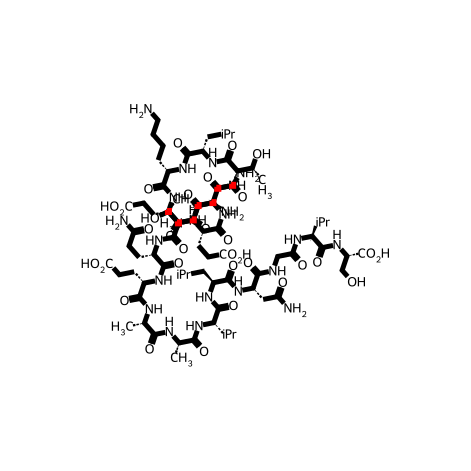 CC(C)C[C@H](NC(=O)[C@@H](NC(=O)[C@H](C)NC(=O)[C@H](C)NC(=O)[C@H](CCC(=O)O)NC(=O)[C@H](CCC(N)=O)NC(=O)[C@@H](NC(=O)[C@H](CC(N)=O)NC(=O)[C@H](CCC(=O)O)NC(=O)[C@H](CCC(=O)O)NC(=O)[C@H](CCCCN)NC(=O)[C@H](CC(C)C)NC(=O)[C@@H](NC(=O)[C@@H](N)CC(N)=O)[C@@H](C)O)[C@@H](C)O)C(C)C)C(=O)N[C@@H](CC(N)=O)C(=O)NCC(=O)N[C@H](C(=O)N[C@@H](CO)C(=O)O)C(C)C